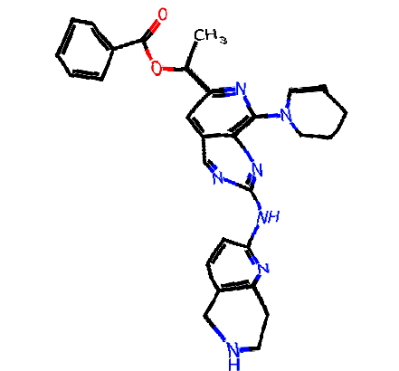 CC(OC(=O)c1ccccc1)c1cc2cnc(Nc3ccc4c(n3)CCNC4)nc2c(N2CCCCC2)n1